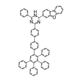 c1ccc(C2=NC(c3ccc(-c4ccc(-c5cc(-c6ccccc6)c(-c6ccccc6)c(-c6ccccc6)c5-c5ccccc5)cc4)cc3)=NC(c3ccc4c(c3)oc3ccccc34)N2)cc1